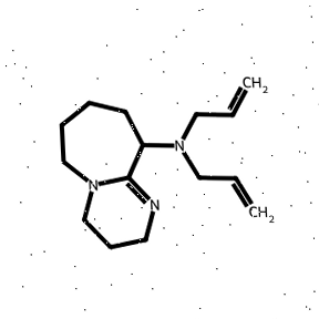 C=CCN(CC=C)C1CCCCN2CCCN=C12